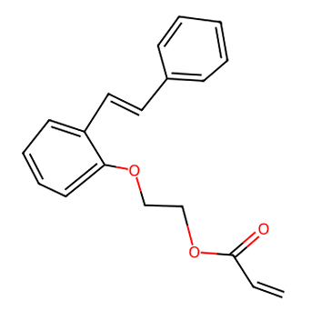 C=CC(=O)OCCOc1ccccc1/C=C/c1ccccc1